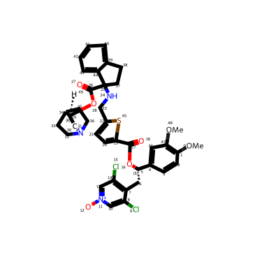 COc1ccc([C@H](Cc2c(Cl)c[n+]([O-])cc2Cl)OC(=O)c2ccc(CNC3(C(=O)O[C@H]4CN5CCC4CC5)CCc4ccccc43)s2)cc1OC